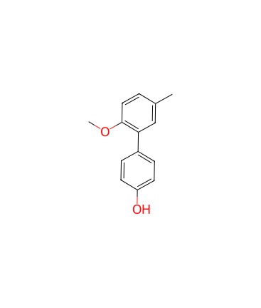 COc1ccc(C)cc1-c1ccc(O)cc1